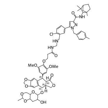 COc1cc([C@@H]2c3cc4c(cc3[C@@H](OC3OC5COC(C)OC5CC3O)[C@H]3COC(=O)[C@H]23)OCO4)cc(OC)c1OCCC(=O)NCNCc1cc(-c2cc(C(=O)NC3C4(C)CCC(C4)C3(C)C)nn2Cc2ccc(C)cc2)ccc1Cl